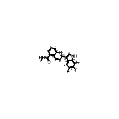 CNC(=O)c1cccc2nc(-c3c[nH]c4c(F)c(F)c(F)cc34)ccc12